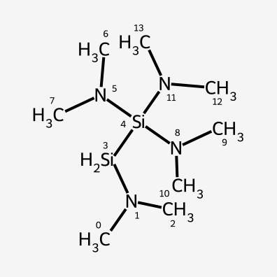 CN(C)[SiH2][Si](N(C)C)(N(C)C)N(C)C